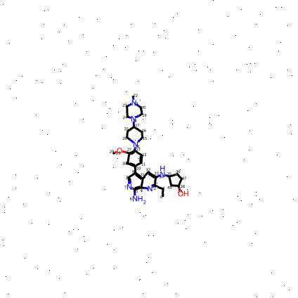 CCc1nc2c(N)ncc(-c3ccc(N4CCC(N5CCN(C)CC5)CC4)c(OC)c3)c2cc1NC1CCC(O)C1